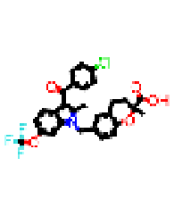 Cc1c(C(=O)c2ccc(Cl)cc2)c2ccc(OC(F)(F)F)cc2n1Cc1ccc2c(c1)CCC(C)(C(=O)O)O2